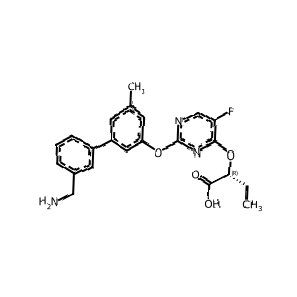 CC[C@@H](Oc1nc(Oc2cc(C)cc(-c3cccc(CN)c3)c2)ncc1F)C(=O)O